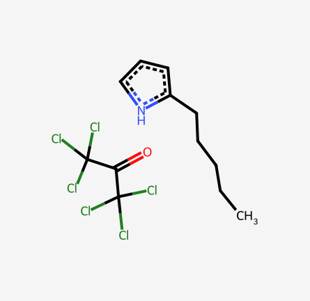 CCCCCc1ccc[nH]1.O=C(C(Cl)(Cl)Cl)C(Cl)(Cl)Cl